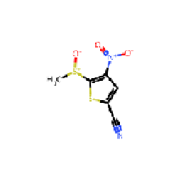 C[S+]([O-])c1sc(C#N)cc1[N+](=O)[O-]